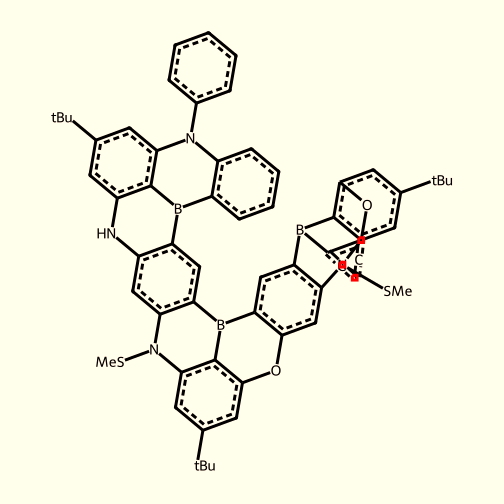 CSN1c2cc3c(cc2B2c4cc5c(cc4Oc4cc(C(C)(C)C)cc1c42)N(SC)c1cc(C(C)(C)C)cc2c1B5c1ccccc1O2)B1c2ccccc2N(c2ccccc2)c2cc(C(C)(C)C)cc(c21)N3